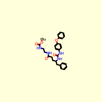 CC(C)(C)OC(=O)NCCNC(=O)CCC(Cc1ccccc1)NC(=O)Nc1ccc(Oc2ccccc2)cc1